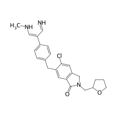 CN/C=C(\C=N)c1ccc(Cc2cc3c(cc2Cl)CN(CC2CCCO2)C3=O)cc1